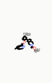 C=C(OC(C)(C)C)N1CCc2ccc(-c3cc(OC)ccc3OCc3cc(C)ccn3)cc2CC1